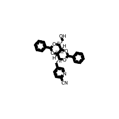 N#Cc1ccc(C[C@H]2OC(c3ccccc3)O[C@H]3[C@H]2OC(c2ccccc2)O[C@@H]3CO)cn1